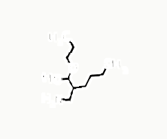 CCCCC(CN)C(O)OCCC